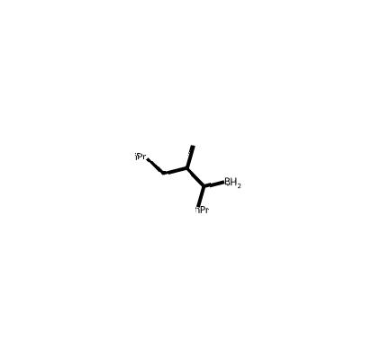 BC(CCC)C(C)CC(C)C